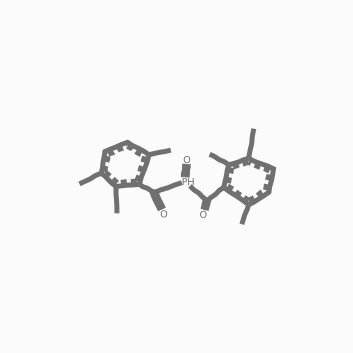 Cc1ccc(C)c(C(=O)[PH](=O)C(=O)c2c(C)ccc(C)c2C)c1C